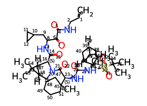 C=CCNC(=O)C(=O)C(CC1CC1)NC(=O)[C@@H]1[C@@H]2[C@H](CN1C(=O)[C@@H](NC(=O)N[C@]1(CS(=O)(=O)C(C)(C)C)CC[C@H]3C[C@@H]1C3(C)C)C1(C)CCCCC1)C2(C)C